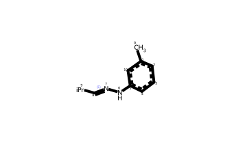 Cc1cccc(N/N=C/C(C)C)c1